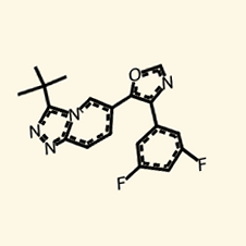 CC(C)(C)c1nnc2ccc(-c3ocnc3-c3cc(F)cc(F)c3)cn12